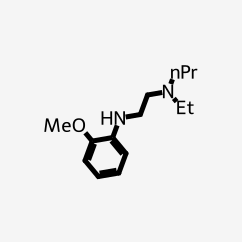 CCCN(CC)CCNc1ccccc1OC